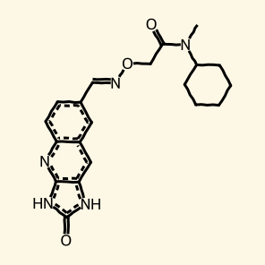 CN(C(=O)CON=Cc1ccc2nc3[nH]c(=O)[nH]c3cc2c1)C1CCCCC1